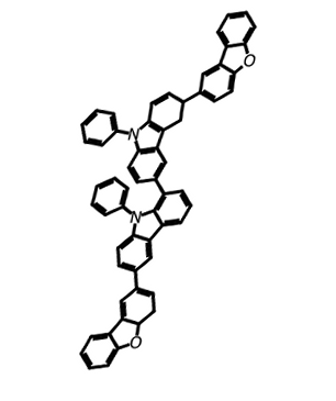 C1=CC(c2ccc3oc4ccccc4c3c2)Cc2c1n(-c1ccccc1)c1ccc(-c3cccc4c5cc(C6=CCC7Oc8ccccc8C7=C6)ccc5n(-c5ccccc5)c34)cc21